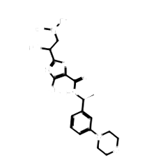 CCN(CC)CC(O)c1nc(C(F)(F)F)c(C(=O)N[C@@H](C)c2cccc(N3CCOCC3)c2)s1